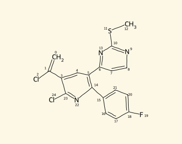 C=C(Cl)c1cc(-c2ccnc(SC)n2)c(-c2ccc(F)cc2)nc1Cl